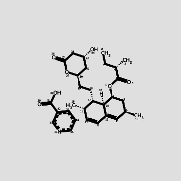 CC[C@H](C)C(=O)O[C@H]1C[C@@H](C)C=C2C=C[C@H](C)[C@H](CC[C@@H]3C[C@@H](O)CC(=O)O3)[C@H]21.O=C(O)c1cccnc1